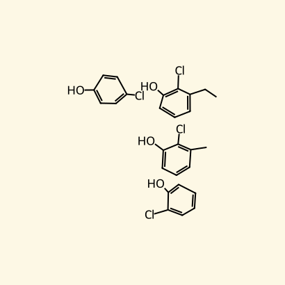 CCc1cccc(O)c1Cl.Cc1cccc(O)c1Cl.Oc1ccc(Cl)cc1.Oc1ccccc1Cl